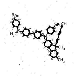 C#CC#CC#CC1(C)c2cc(C)ccc2-c2ccc(N(c3ccc(CCCC)cc3)c3ccc(-c4ccc(N(C)c5ccc(CCCC)cc5)cc4)cc3)cc21